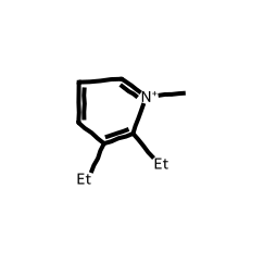 CCc1ccc[n+](C)c1CC